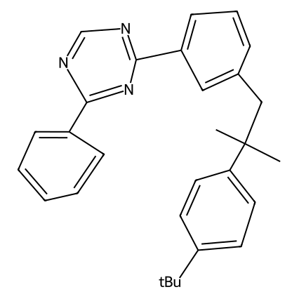 CC(C)(C)c1ccc(C(C)(C)Cc2cccc(-c3ncnc(-c4ccccc4)n3)c2)cc1